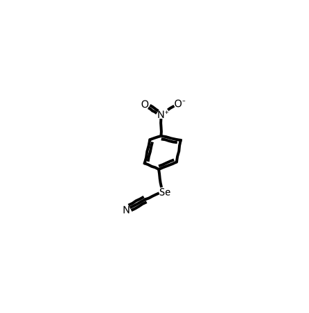 N#C[Se]c1ccc([N+](=O)[O-])cc1